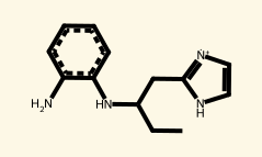 CCC(CC1=[N+]C=CN1)Nc1ccccc1N